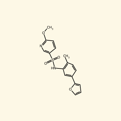 COc1ccc(S(=O)(=O)Nc2cc(-c3ccco3)ccc2C)cn1